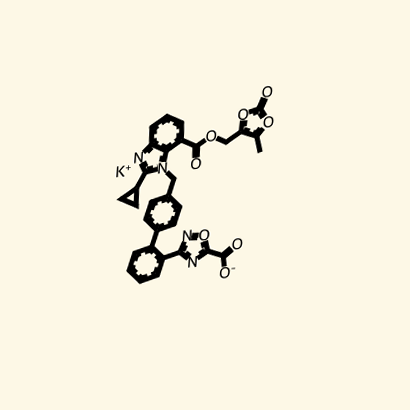 Cc1oc(=O)oc1COC(=O)c1cccc2nc(C3CC3)n(Cc3ccc(-c4ccccc4-c4noc(C(=O)[O-])n4)cc3)c12.[K+]